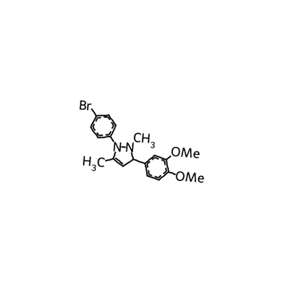 COc1ccc(C2C=C(C)N(c3ccc(Br)cc3)N2C)cc1OC